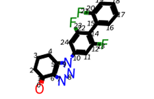 O=C1CCCc2c1nnn2-c1cc(F)c(-c2ccccc2F)c(F)c1